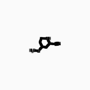 COC1CCNC(C#N)C1